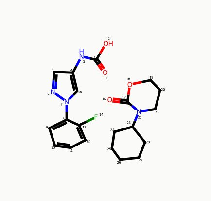 O=C(O)Nc1cnn(-c2ccccc2F)c1.O=C1OCCCN1C1CCCCC1